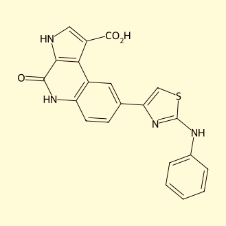 O=C(O)c1c[nH]c2c(=O)[nH]c3ccc(-c4csc(Nc5ccccc5)n4)cc3c12